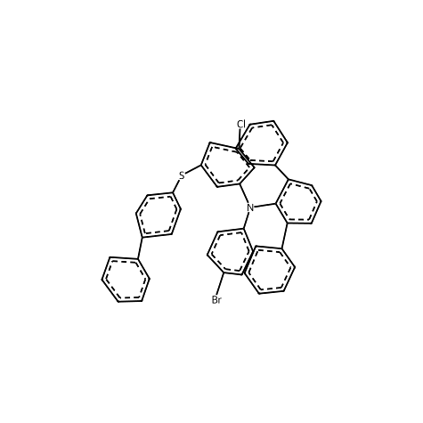 Clc1cc(Sc2ccc(-c3ccccc3)cc2)cc(N(c2ccc(Br)cc2)c2c(-c3ccccc3)cccc2-c2ccccc2)c1